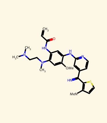 C=CC(=O)Nc1cc(Nc2cc(C(=N)c3sccc3NC)ccn2)c(OC)cc1N(C)CCN(C)C